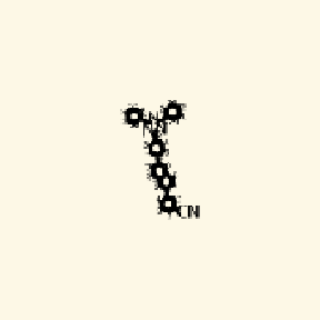 N#Cc1cccc(-c2ccc3cc(-c4ccc(-c5nc(-c6ccccc6)nc(-c6ccccc6)n5)cc4)ccc3c2)c1